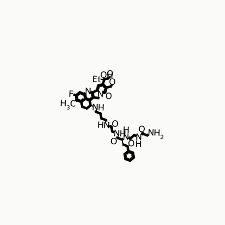 CC[C@@]1(O)C(=O)OCc2c1cc1n(c2=O)Cc2c-1nc1cc(F)c(C)c3c1c2[C@@H](NCCCCNC(=O)CNC(=O)[C@H](CCc1ccccc1)NC(=O)CNC(=O)CN)CC3